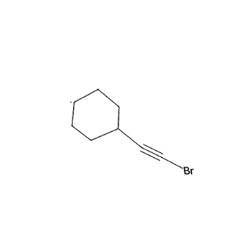 BrC#CC1CC[CH]CC1